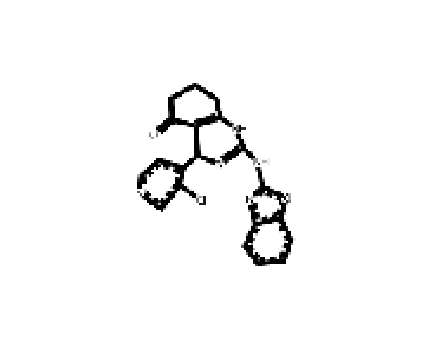 O=C1CCCC2=C1C(c1ccncc1Cl)N=C(Nc1nc3ccccc3o1)N2